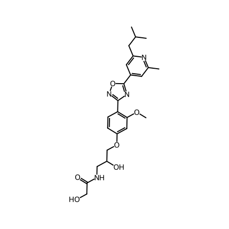 COc1cc(OCC(O)CNC(=O)CO)ccc1-c1noc(-c2cc(C)nc(CC(C)C)c2)n1